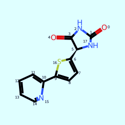 O=C1NC(=O)[C@H](c2ccc(-c3ccccn3)s2)N1